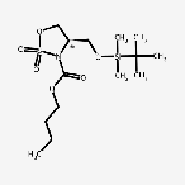 CCCCOC(=O)N1[C@H](CO[Si](C)(C)C(C)(C)C)COS1(=O)=O